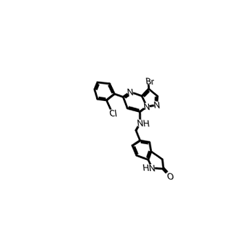 O=C1Cc2cc(CNc3cc(-c4ccccc4Cl)nc4c(Br)cnn34)ccc2N1